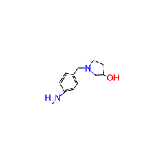 Nc1ccc(CN2CCC(O)C2)cc1